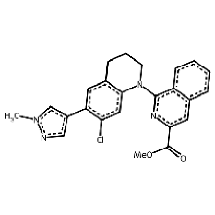 COC(=O)c1cc2ccccc2c(N2CCCc3cc(-c4cnn(C)c4)c(Cl)cc32)n1